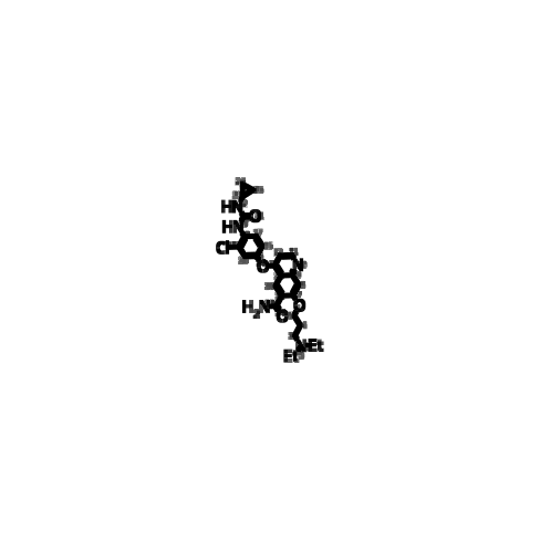 CCN(CC)CCCOc1cc2nccc(Oc3ccc(NC(=O)NC4CC4)c(Cl)c3)c2cc1C(N)=O